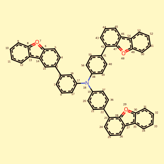 c1cc(-c2ccc3oc4ccccc4c3c2)cc(N(c2ccc(-c3cccc4c3oc3ccccc34)cc2)c2ccc(-c3cccc4c3oc3ccccc34)cc2)c1